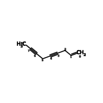 C=CCC#CCC#CC